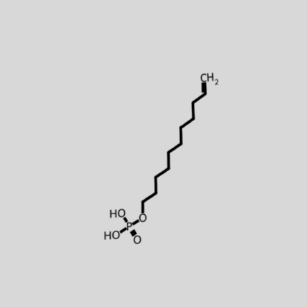 C=CCCCCCCCCCOP(=O)(O)O